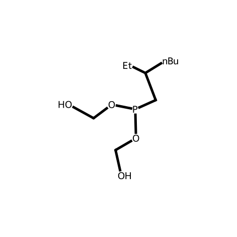 CCCCC(CC)CP(OCO)OCO